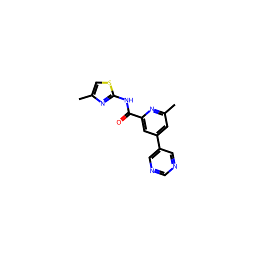 Cc1cc(-c2cncnc2)cc(C(=O)Nc2nc(C)cs2)n1